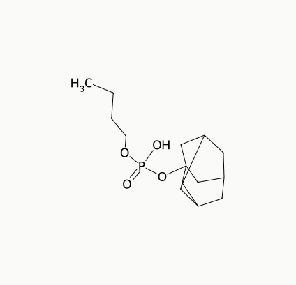 CCCCOP(=O)(O)OC12CC3CC(CC(C3)C1)C2